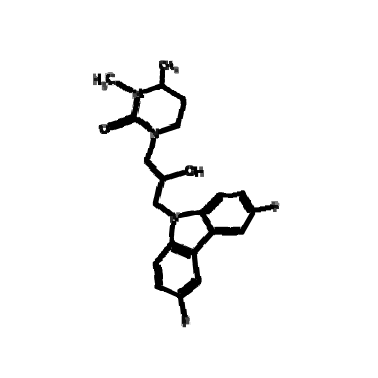 CC1CCN(CC(O)Cn2c3ccc(F)cc3c3cc(F)ccc32)C(=O)N1C